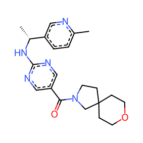 Cc1ccc([C@@H](C)Nc2ncc(C(=O)N3CCC4(CCOCC4)C3)cn2)cn1